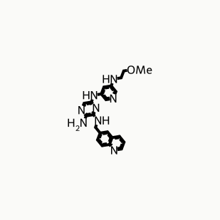 COCCNc1cncc(Nc2cnc(N)c(NCc3ccc4ncccc4c3)n2)c1